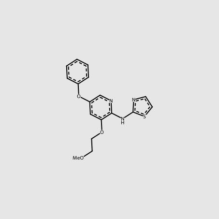 COCCOc1cc(Oc2ccccc2)cnc1Nc1nccs1